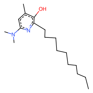 CCCCCCCCCCc1nc(N(C)C)cc(C)c1O